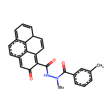 Cc1cccc(C(=O)N(NC(=O)C2=C3C=CC4C=CC=c5ccc(c3c54)=CC2=O)C(C)(C)C)c1